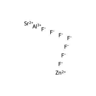 [Al+3].[F-].[F-].[F-].[F-].[F-].[F-].[F-].[Sr+2].[Zn+2]